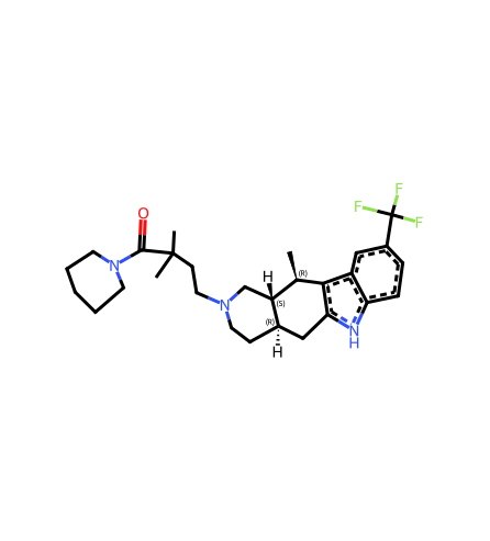 C[C@H]1c2c([nH]c3ccc(C(F)(F)F)cc23)C[C@H]2CCN(CCC(C)(C)C(=O)N3CCCCC3)C[C@@H]21